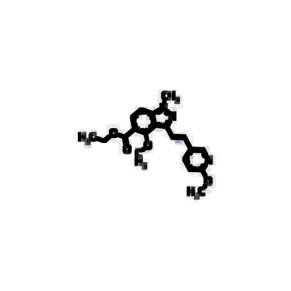 CCOC(=O)c1ccc2c(c(/C=C/c3ccc(OC)nc3)nn2C)c1OC